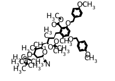 COC(=O)c1c(OCc2ccc(OC)cc2)cc(OCc2ccc(OC)cc2)c(C)c1C[C@H]1OC(C)(C)O[C@@H](C[C@H]2O[C@H](C#N)C[C@@H](O[Si](C)(C)C(C)(C)C)C2(C)C)[C@H]1C